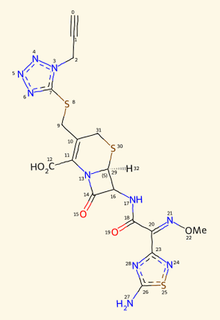 C#CCn1nnnc1SCC1=C(C(=O)O)N2C(=O)C(NC(=O)C(=NOC)c3nsc(N)n3)[C@@H]2SC1